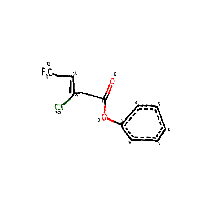 O=C(Oc1ccccc1)C(Cl)=CC(F)(F)F